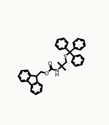 CC(C)(CSC(c1ccccc1)(c1ccccc1)c1ccccc1)NC(=O)OCC1c2ccccc2-c2ccccc21